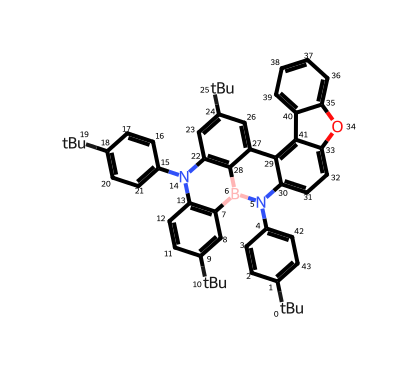 CC(C)(C)c1ccc(N2B3c4cc(C(C)(C)C)ccc4N(c4ccc(C(C)(C)C)cc4)c4cc(C(C)(C)C)cc(c43)-c3c2ccc2oc4ccccc4c32)cc1